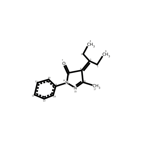 CCC(CC)=C1C(=O)N(c2ccccc2)N=C1C